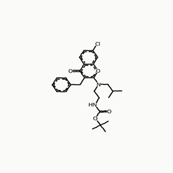 CC(C)CN(CCNC(=O)OC(C)(C)C)c1oc2cc(Cl)ccc2c(=O)c1Cc1ccccc1